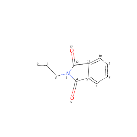 CC[CH]N1C(=O)c2ccccc2C1=O